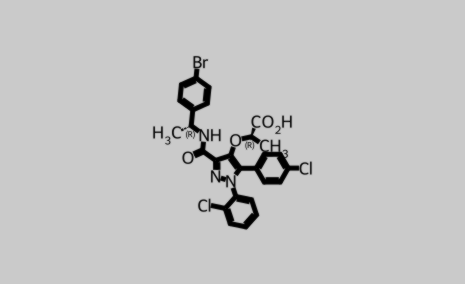 C[C@@H](Oc1c(C(=O)N[C@H](C)c2ccc(Br)cc2)nn(-c2ccccc2Cl)c1-c1ccc(Cl)cc1)C(=O)O